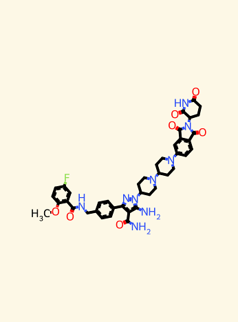 COc1ccc(F)cc1C(=O)NCc1ccc(-c2nn(C3CCN(C4CCN(c5ccc6c(c5)C(=O)N(C5CCC(=O)NC5=O)C6=O)CC4)CC3)c(N)c2C(N)=O)cc1